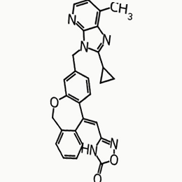 Cc1ccnc2c1nc(C1CC1)n2Cc1ccc2c(c1)OCc1ccccc1C2=Cc1noc(=O)[nH]1